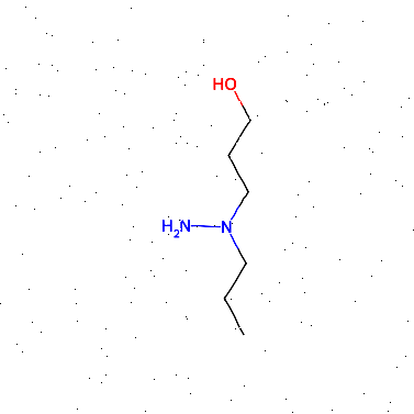 CCCN(N)CCCO